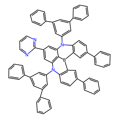 c1ccc(-c2cc(-c3ccccc3)cc(N3c4ccc(-c5ccccc5)cc4B4c5cc(-c6ccccc6)ccc5N(c5cc(-c6ccccc6)cc(-c6ccccc6)c5)c5cc(-c6ncccn6)cc3c54)c2)cc1